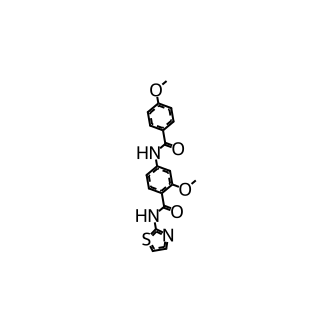 COc1ccc(C(=O)Nc2ccc(C(=O)Nc3nccs3)c(OC)c2)cc1